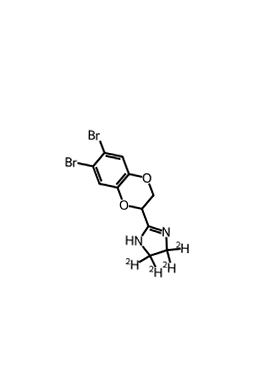 [2H]C1([2H])N=C(C2COc3cc(Br)c(Br)cc3O2)NC1([2H])[2H]